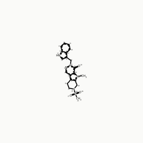 Cn1c2c(c3cnn(Cc4c[nH]c5ccccc45)c(=O)c31)CCN(S(C)(=O)=O)C2